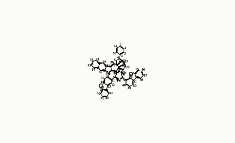 c1ccc(-c2ccc(-c3nc(-c4cc5c(cc4-n4c6cc7ccccc7cc6c6cc7ccccc7cc64)oc4ccccc45)nc(-c4cccc5c4oc4ccccc45)n3)cc2)cc1